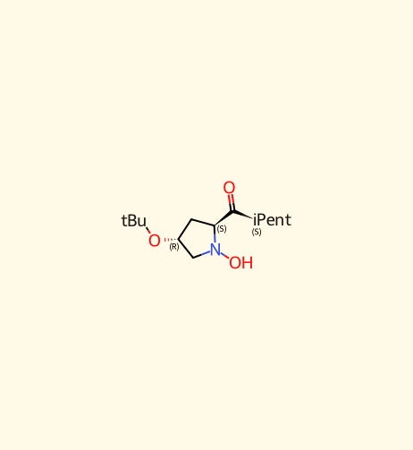 CCC[C@H](C)C(=O)[C@@H]1C[C@@H](OC(C)(C)C)CN1O